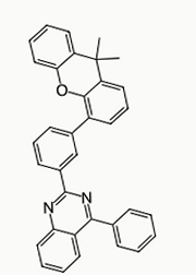 CC1(C)c2ccccc2Oc2c(-c3cccc(-c4nc(-c5ccccc5)c5ccccc5n4)c3)cccc21